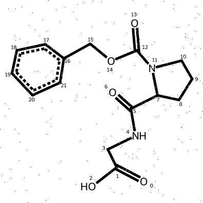 O=C(O)CNC(=O)C1CCCN1C(=O)OCc1ccccc1